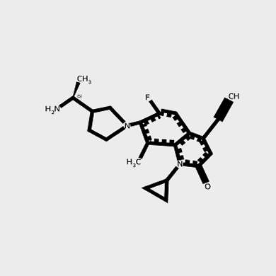 C#Cc1cc(=O)n(C2CC2)c2c(C)c(N3CCC([C@H](C)N)C3)c(F)cc12